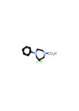 O=C(O)N1CCN(c2ccccc2)CC(F)(F)C1